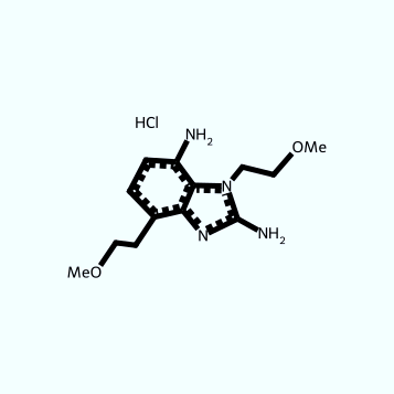 COCCc1ccc(N)c2c1nc(N)n2CCOC.Cl